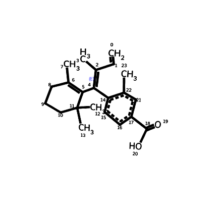 C=C/C(C)=C(/C1=C(C)CCCC1(C)C)c1ccc(C(=O)O)cc1C